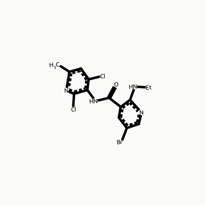 CCNc1ncc(Br)cc1C(=O)Nc1c(Cl)cc(C)nc1Cl